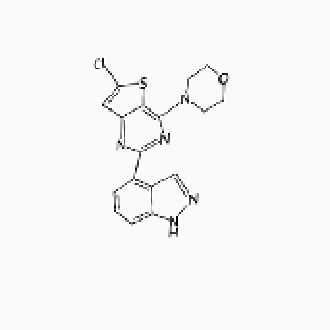 Clc1cc2nc(-c3cccc4[nH]ncc34)nc(N3CCOCC3)c2s1